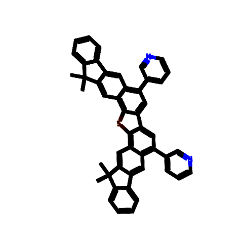 CC1(C)c2ccccc2-c2cc3c(-c4cccnc4)cc4c5cc(-c6cccnc6)c6cc7c(cc6c5sc4c3cc21)C(C)(C)c1ccccc1-7